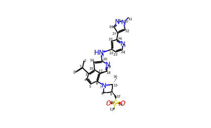 CC(C)c1ccc(N2C[C@H](CS(C)(=O)=O)[C@H]2C)c2cnc(Nc3ccnc(-c4cnn(C)c4)c3)cc12